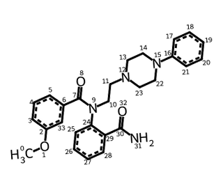 COc1cccc(C(=O)N(CCN2CCN(c3ccccc3)CC2)c2ccccc2C(N)=O)c1